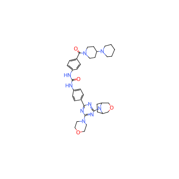 O=C(Nc1ccc(C(=O)N2CCC(N3CCCCC3)CC2)cc1)Nc1ccc(-c2nc(N3CCOCC3)nc(N3C4CCC3COC4)n2)cc1